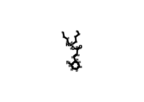 CCC[CH2][SnH]([CH2]CCC)[O]C(=O)/C=C/c1ccccc1F